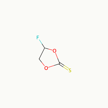 FC1COC(=S)O1